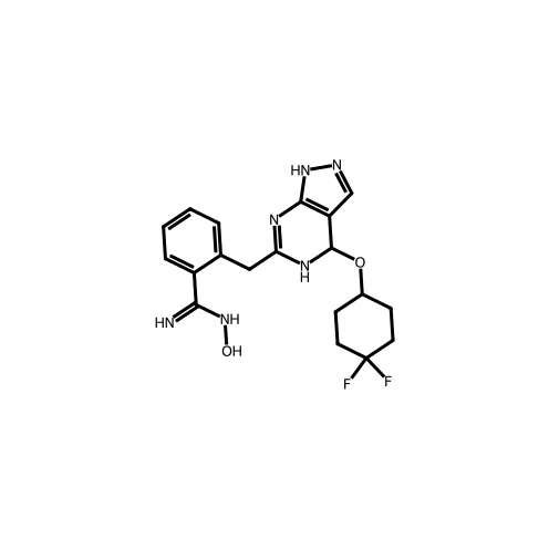 N=C(NO)c1ccccc1CC1=Nc2[nH]ncc2C(OC2CCC(F)(F)CC2)N1